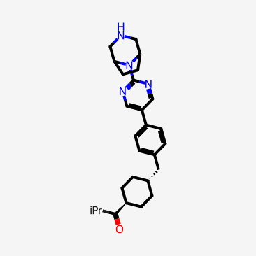 CC(C)C(=O)[C@H]1CC[C@H](Cc2ccc(-c3cnc(N4C5CCC4CNC5)nc3)cc2)CC1